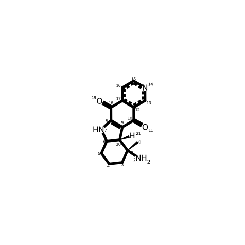 C[C@@]1(N)CCCC2NC3=C(C(=O)c4cnccc4C3=O)[C@@H]21